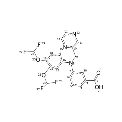 O=C(O)c1cccc(N(Cc2cnccn2)c2ccc(OC(F)F)c(OC(F)F)c2)c1